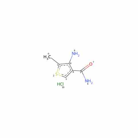 Cc1scc(C(N)=O)c1N.Cl